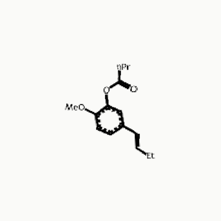 CC/C=C/c1ccc(OC)c(OC(=O)CCC)c1